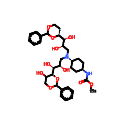 CC(C)(C)OC(=O)N[C@H]1CC[C@H](N(C[C@H](O)[C@@H](O)[C@H]2CCOC(c3ccccc3)O2)C[C@H](O)[C@@H](O)[C@@H]2OC(c3ccccc3)OC[C@H]2O)CC1